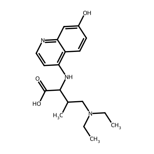 CCN(CC)CC(C)C(Nc1ccnc2cc(O)ccc12)C(=O)O